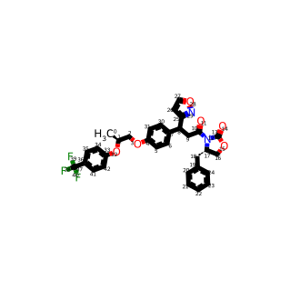 C[C@@H](COc1ccc(C(CC(=O)N2C(=O)OC[C@@H]2Cc2ccccc2)c2ccon2)cc1)Oc1ccc(C(F)(F)F)cc1